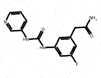 NC(=O)Cc1cc(F)cc(NC(=O)Nc2cccnc2)c1